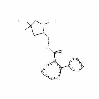 CN1CC(C)(C)CC1CNC(=O)c1nccnc1-c1ncco1